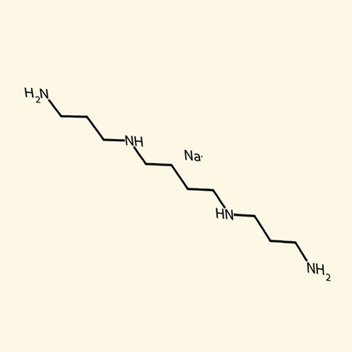 NCCCNCCCCNCCCN.[Na]